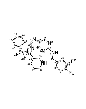 Fc1ccc(CNc2ncc3nc(-c4ccccc4C(F)(F)F)n(C[C@@H]4CCCNC4)c3n2)cc1F